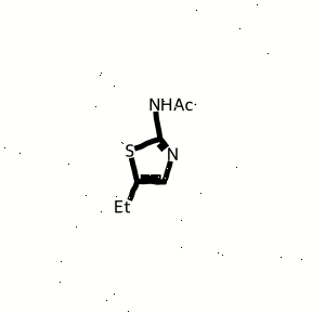 CCc1cnc([N]C(C)=O)s1